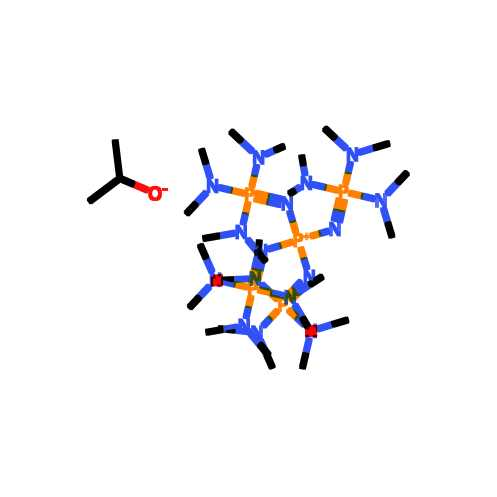 CC(C)[O-].CN(C)P(=N[P+](N=P(N(C)C)(N(C)C)N(C)C)(N=P(N(C)C)(N(C)C)N(C)C)N=P(N(C)C)(N(C)C)N(C)C)(N(C)C)N(C)C